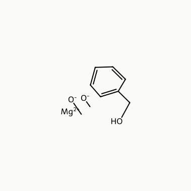 C[O-].C[O-].OCc1ccccc1.[Mg+2]